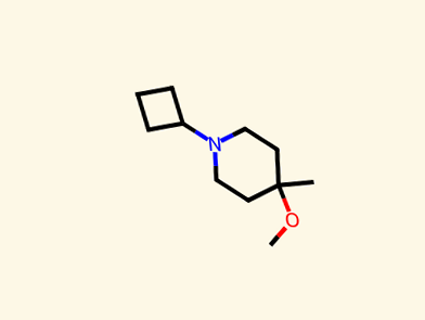 COC1(C)CCN(C2CCC2)CC1